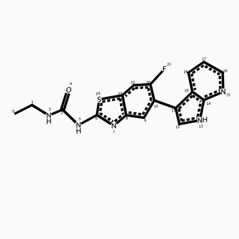 CCNC(=O)Nc1nc2cc(-c3c[nH]c4ncccc34)c(F)cc2s1